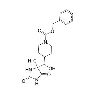 CC1(C(O)C2CCN(C(=O)OCc3ccccc3)CC2)NC(=O)NC1=O